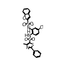 Cc1nc(-c2ccccc2)sc1S(=O)(=O)Nc1ccc(Cl)cc1NS(=O)(=O)c1cc2ccccc2o1